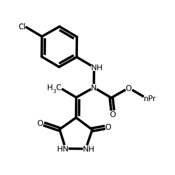 CCCOC(=O)N(Nc1ccc(Cl)cc1)C(C)=C1C(=O)NNC1=O